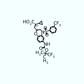 CC(C)(OC(=O)Nc1ccc2c(c1)N(S(=O)(=O)c1cccc(C(F)(F)F)c1)C[C@H](C[C@H](C(=O)O)C1CC1)O2)C(F)(F)F